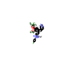 N#C/N=C(\NCc1ccc(F)cc1)Nc1ccc([C@@H](Cc2ccncc2)c2ccc(OC(F)F)c(OC(F)F)c2)cc1